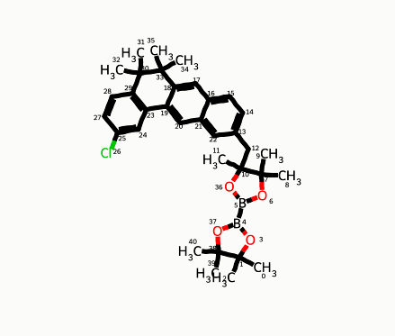 CC1(C)OB(B2OC(C)(C)C(C)(Cc3ccc4cc5c(cc4c3)-c3cc(Cl)ccc3C(C)(C)C5(C)C)O2)OC1(C)C